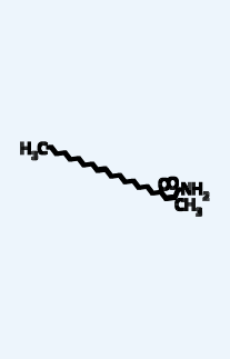 CCCCCCCCC=CCCCCCCCC(=O)C=C(C)C(N)=O